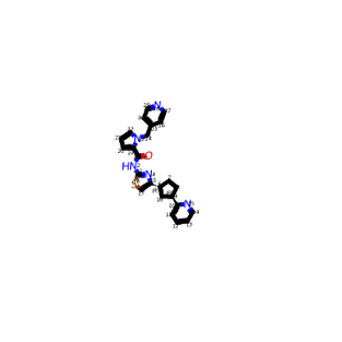 O=C(Nc1nc([C@@H]2CC[C@@H](c3ccccn3)C2)cs1)c1cccn1Cc1ccncc1